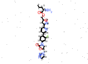 CC[C@H](C)[C@H](N)C(=O)OCC1CC(c2ccc(-c3ccc(N4C[C@H](Cn5ccnn5)OC4=O)cc3F)cn2)=NO1